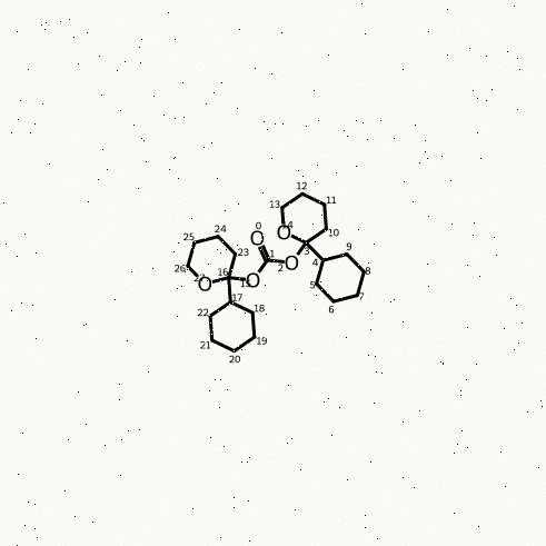 O=C(OC1(C2CCCCC2)CCCCO1)OC1(C2CCCCC2)CCCCO1